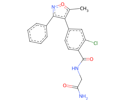 Cc1onc(-c2ccccc2)c1-c1ccc(C(=O)NCC(N)=O)c(Cl)c1